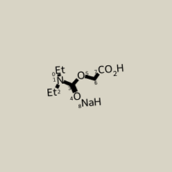 CCN(CC)C(=O)OCC(=O)O.[NaH]